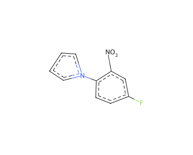 O=[N+]([O-])c1cc(F)ccc1-n1cccc1